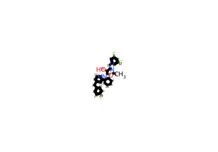 CC(=O)N[C@@H](Cc1cc(F)cc(F)c1)[C@@H](O)CNC1(c2cccc(Cc3ccc(F)cc3)c2)CCCCC1